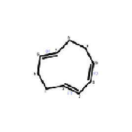 [C]1=C\C=C\CC/C=C/CC/1